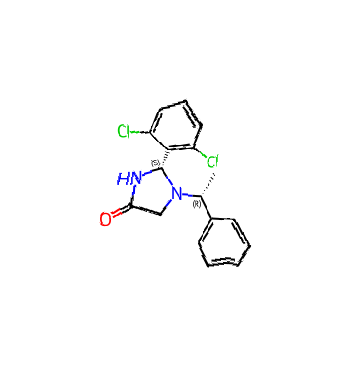 C[C@H](c1ccccc1)N1CC(=O)N[C@@H]1c1c(Cl)cccc1Cl